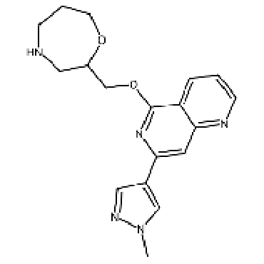 Cn1cc(-c2cc3ncccc3c(OCC3CNCCCO3)n2)cn1